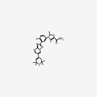 CC1=C(C(N)=O)OC(C)N1c1ccc(F)c(-c2nc3ncc(C4=CC(C)(C)OC(C)(C)C4)cn3n2)c1